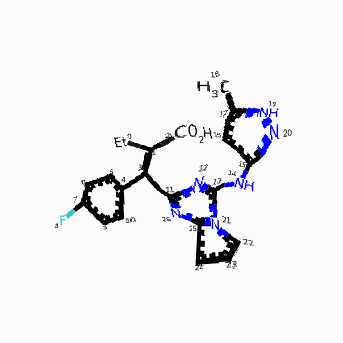 CCC(C(=O)O)=C(c1ccc(F)cc1)c1nc(Nc2cc(C)[nH]n2)n2cccc2n1